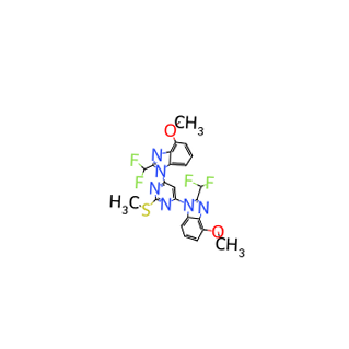 COc1cccc2c1nc(C(F)F)n2-c1cc(-n2c(C(F)F)nc3c(OC)cccc32)nc(SC)n1